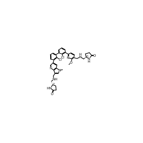 COc1nc(-c2cccc(-c3cccc(-c4cnc5c(CNC[C@@H]6CCC(=O)N6)cn(C)c5c4)c3Cl)c2Cl)ccc1CNC[C@H]1CCC(=O)N1